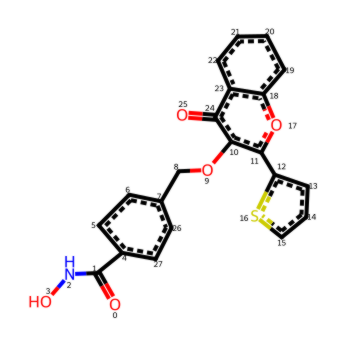 O=C(NO)c1ccc(COc2c(-c3cccs3)oc3ccccc3c2=O)cc1